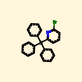 Brc1cccc([Si](c2ccccc2)(c2ccccc2)c2ccccc2)n1